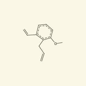 C=CCc1c(C=C)cccc1OC